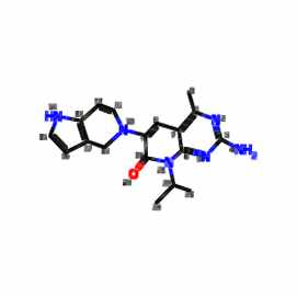 Cc1nc(N)nc2c1cc(N1C=Cc3[nH]ccc3C1)c(=O)n2C(C)C